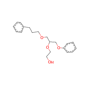 OCCOC(COCCCc1ccccc1)COc1ccccc1